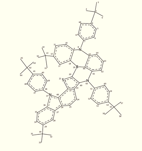 CC(C)(C)c1ccc(N2c3ccc(C(C)(C)C)cc3B3c4sc5c(ccc6c7cc(C(C)(C)C)ccc7n(-c7ccc(C(C)(C)C)cc7)c65)c4N(c4ccc(C(C)(C)C)cc4)c4cccc2c43)cc1